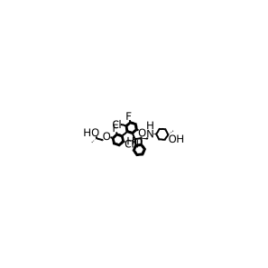 C[C@H](O)COc1ccc(C#N)c(-c2c(Cl)c(F)cc3c2[C@@H]2c4ccccc4[C@@]2(CN[C@H]2CC[C@](C)(O)CC2)O3)c1F